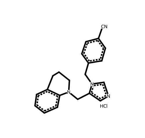 Cl.N#Cc1ccc(Cn2cncc2CN2CCCc3ccccc32)cc1